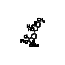 COc1nc2ccc(C(O)Cc3ccc(C)nc3C)cc2c(Cl)c1OC(C)C